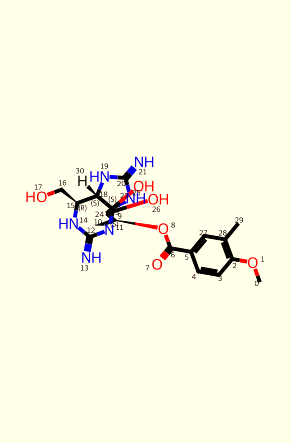 COc1ccc(C(=O)O[C@H]2CN3C(=N)N[C@@H](CO)[C@@H]4NC(=N)N[C@@]43C2(O)O)cc1C